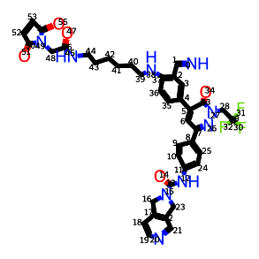 N=Cc1cc(-c2cc(-c3ccc(NC(=O)N4Cc5ccncc5C4)cc3)nn(CC(F)(F)F)c2=O)ccc1NCCCCCCNC(=O)CN1C(=O)C=CC1=O